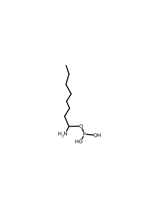 CCCCCCCC(N)OP(O)O